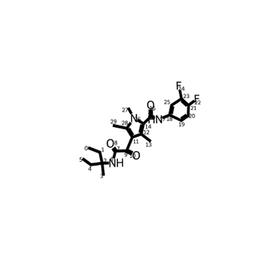 CCC(C)(CC)NC(=O)C(=O)c1c(C)c(C(=O)Nc2ccc(F)c(F)c2)n(C)c1C